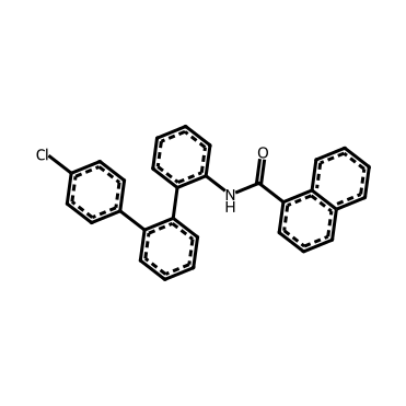 O=C(Nc1ccccc1-c1ccccc1-c1ccc(Cl)cc1)c1cccc2ccccc12